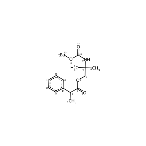 CC(C(=O)OCC(C)(C)NC(=O)OC(C)(C)C)c1ccccc1